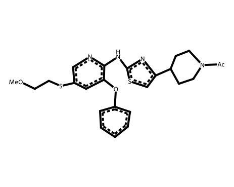 COCCSc1cnc(Nc2nc(C3CCN(C(C)=O)CC3)cs2)c(Oc2ccccc2)c1